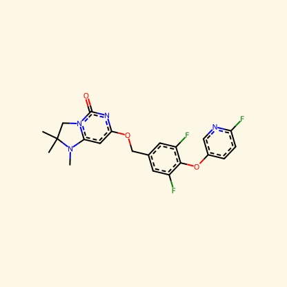 CN1c2cc(OCc3cc(F)c(Oc4ccc(F)nc4)c(F)c3)nc(=O)n2CC1(C)C